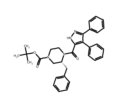 CC(C)(C)OC(=O)N1CCN(C(=O)c2[nH]nc(-c3ccccc3)c2-c2ccccc2)[C@H](Cc2ccccc2)C1